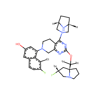 [2H]C([2H])(Oc1nc2c(c(N3C[C@H]4CC[C@@H](C3)N4)n1)CCN(c1cc(O)cc3ccc(F)c(CC)c13)C2)[C@@]12CCCN1C[C@]([2H])(F)C2